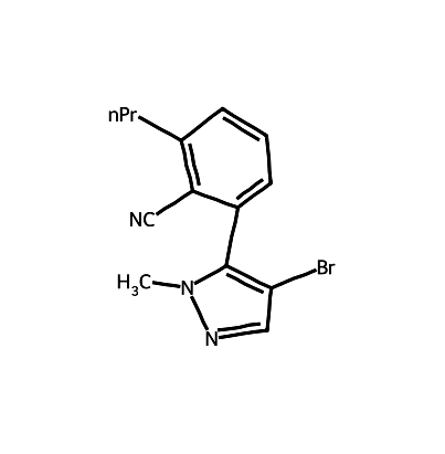 CCCc1cccc(-c2c(Br)cnn2C)c1C#N